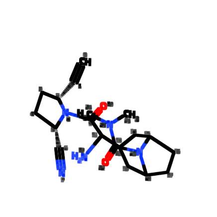 C#C[C@H]1CC[C@@H](C#N)N1C(=O)C(N)C1CC2CCC(C1)N2C(=O)N(C)C